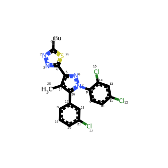 CCC(C)c1nnc(-c2nn(-c3ccc(Cl)cc3Cl)c(-c3cccc(Cl)c3)c2C)s1